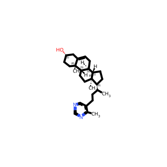 Cc1ncncc1CCC(C)[C@H]1CC[C@H]2[C@@H]3CC=C4C[C@@H](O)CC[C@]4(C)[C@H]3CC[C@]12C